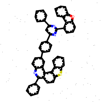 c1ccc(-c2cc(-c3ccc(-c4ccc5nc(-c6ccccc6)c6ccc7sc8ccccc8c7c6c5c4)cc3)nc(-c3cccc4oc5ccccc5c34)n2)cc1